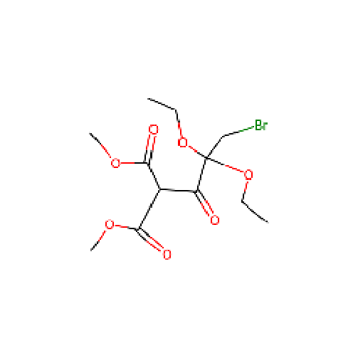 CCOC(CBr)(OCC)C(=O)C(C(=O)OC)C(=O)OC